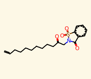 C=CCCCCCCCCC(=O)CN1C(=O)c2ccccc2S1(=O)=O